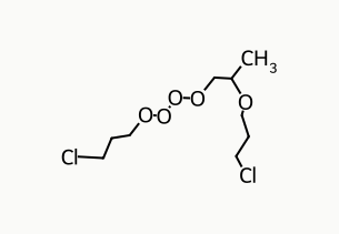 CC(COOOOCCCCl)OCCCCl